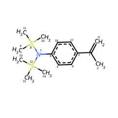 C=C(C)c1ccc(N(S(C)(C)C)S(C)(C)C)cc1